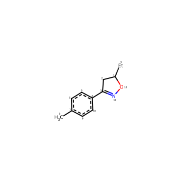 CCC1CC(c2ccc(C)cc2)=NO1